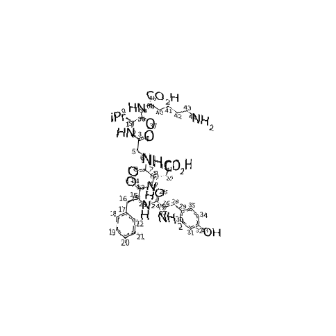 CC(C)[C@H](NC(=O)CNC(=O)[C@H](CC(=O)O)NC(=O)[C@H](Cc1ccccc1)NC(=O)[C@@H](N)Cc1ccc(O)cc1)C(=O)N[C@@H](CCCCN)C(=O)O